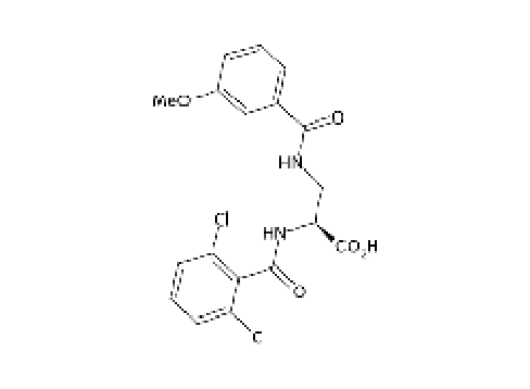 COc1cccc(C(=O)NC[C@H](NC(=O)c2c(Cl)cccc2Cl)C(=O)O)c1